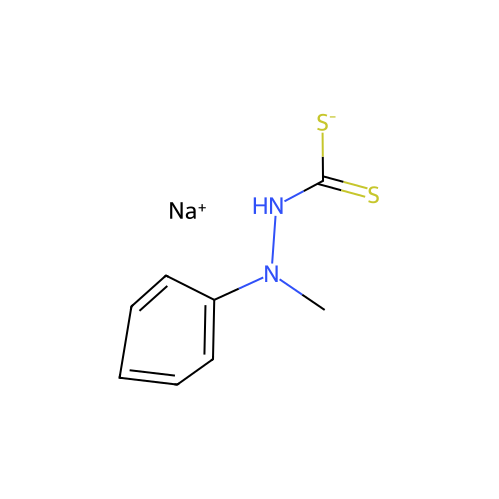 CN(NC(=S)[S-])c1ccccc1.[Na+]